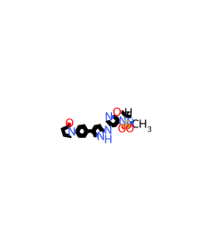 CN1C[C@H]2COc3ncc(Nc4ccc(-c5ccc(N6CCCC6=O)cc5)cn4)cc3N2S1(=O)=O